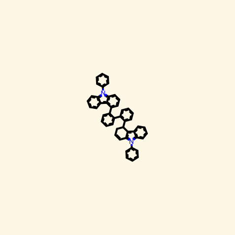 C1=Cc2c(c3ccccc3n2-c2ccccc2)C(c2ccccc2-c2ccccc2-c2cccc3c2c2ccccc2n3-c2ccccc2)C1